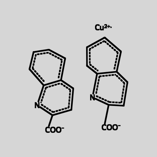 O=C([O-])c1ccc2ccccc2n1.O=C([O-])c1ccc2ccccc2n1.[Cu+2]